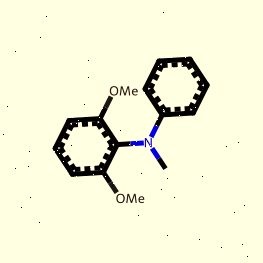 COc1cccc(OC)c1N(C)c1ccccc1